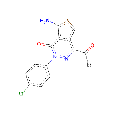 CCC(=O)c1nn(-c2ccc(Cl)cc2)c(=O)c2c(N)scc12